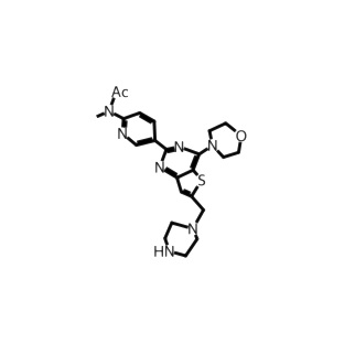 CC(=O)N(C)c1ccc(-c2nc(N3CCOCC3)c3sc(CN4CCNCC4)cc3n2)cn1